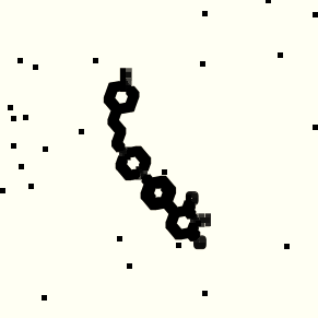 O=C1CCC(c2ccc(N3CCN(CCCC4CCNCC4)CC3)cc2)C(=O)N1